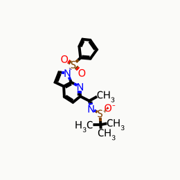 C/C(=N\[S@@+]([O-])C(C)(C)C)c1ccc2ccn(S(=O)(=O)c3ccccc3)c2n1